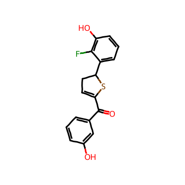 O=C(C1=CCC(c2cccc(O)c2F)S1)c1cccc(O)c1